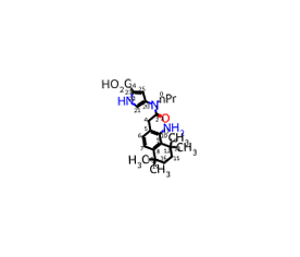 CCCN(C(=O)Cc1ccc2c(c1N)C(C)(C)CCC2(C)C)c1c[nH]c(C(=O)O)c1